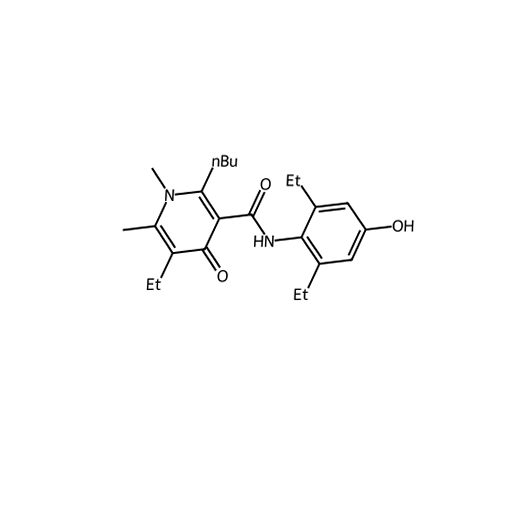 CCCCc1c(C(=O)Nc2c(CC)cc(O)cc2CC)c(=O)c(CC)c(C)n1C